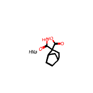 O=C(O)C1(C(=O)O)CC2CCC1C2.[NaH]